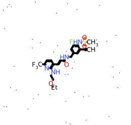 C#Cc1cc(CNC(=O)C=Cc2ccc(C(F)(F)F)nc2NCCOCC)cc(F)c1NS(C)(=O)=O